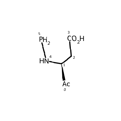 CC(=O)[C@H](CC(=O)O)NP